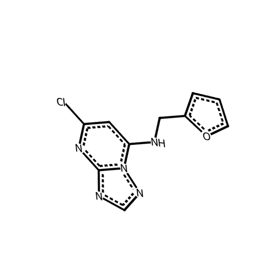 Clc1cc(NCc2ccco2)n2ncnc2n1